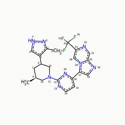 Cc1n[nH]cc1C1C[C@H](C)CN(c2nccc(-c3cnc4cnc(C(F)(F)F)cn34)n2)C1